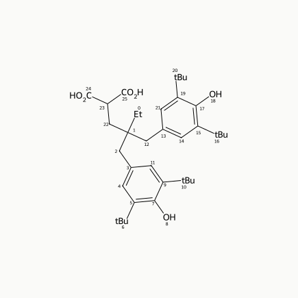 CCC(Cc1cc(C(C)(C)C)c(O)c(C(C)(C)C)c1)(Cc1cc(C(C)(C)C)c(O)c(C(C)(C)C)c1)CC(C(=O)O)C(=O)O